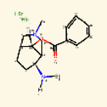 Br.Br.CCN(CC)[C@H]1CCC2CN(C)CC1[C@H]2OC(=O)c1ccccc1